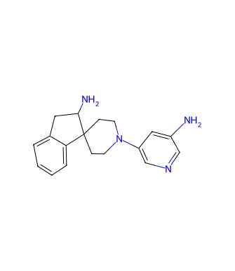 Nc1cncc(N2CCC3(CC2)c2ccccc2CC3N)c1